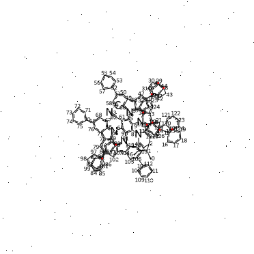 C[C@@H]1C2C=C([C@@H]1C)N(c1c(-n3c4ccc(-c5ccccc5)cc4c4cc(-c5ccccc5)ccc43)c(-n3c4ccc(C5=CCCC=C5)cc4c4cc(-c5ccccc5)ccc43)c(C#N)c(-n3c4ccc(-c5ccccc5)cc4c4cc(C5C=CC=CC5)ccc43)c1-n1c3ccc(-c4ccccc4)cc3c3cc(-c4ccccc4)ccc31)c1ccc(-c3ccccc3)cc12